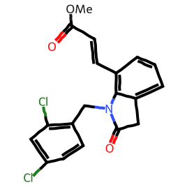 COC(=O)/C=C/c1cccc2c1N(Cc1ccc(Cl)cc1Cl)C(=O)C2